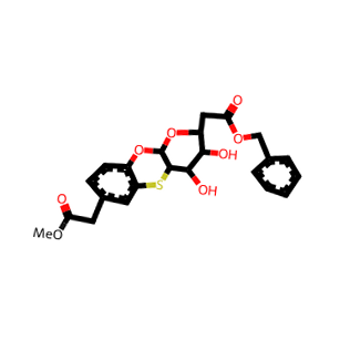 COC(=O)Cc1ccc2c(c1)SC1C(O2)OC(CC(=O)OCc2ccccc2)C(O)C1O